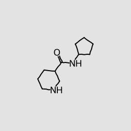 O=C(NC1CCCC1)C1CCCNC1